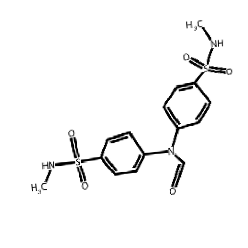 CNS(=O)(=O)c1ccc(N(C=O)c2ccc(S(=O)(=O)NC)cc2)cc1